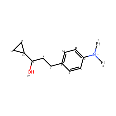 CCN(CC)c1ccc(CCC(O)C2CC2)cc1